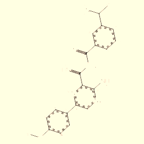 CC(C)Sc1ccc(-c2cnc(N)c(C(=N)OC(=N)c3cccc(C(C)N)c3)n2)cc1